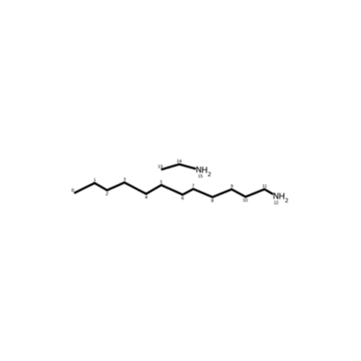 CCCCCCCCCCCCN.CCN